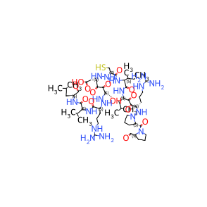 CC[C@H](C)C(NC(=O)[C@H](CS)NN[C@@H](CC(=O)O)C(=O)C(=O)[C@H](CO)NN[C@@H](CCCNC(N)N)C(=O)N[C@H](C(=O)N[C@H](C=O)CC(C)C)C(C)C)C(=O)N[C@@H](CC(C)C)C(=O)C(=O)[C@H](CCCNC(N)N)NN1CCC[C@H]1C(=O)N1CCC[C@H]1C=O